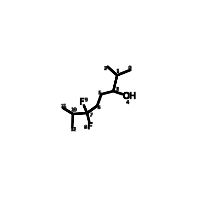 CC(C)C(O)CCC(F)(F)C(C)C